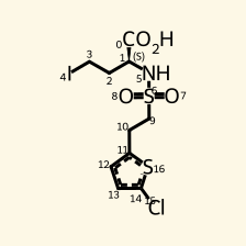 O=C(O)[C@H](CCI)NS(=O)(=O)CCc1ccc(Cl)s1